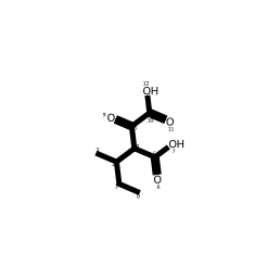 CCC(C)C(C(=O)O)C(=O)C(=O)O